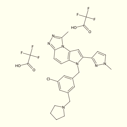 Cc1nnc2ccc3c(cc(-c4ccn(C)n4)n3Cc3cc(Cl)cc(CN4CCCC4)c3)n12.O=C(O)C(F)(F)F.O=C(O)C(F)(F)F